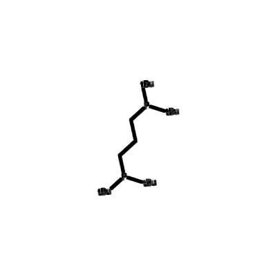 CC(C)(C)P(CCCP(C(C)(C)C)C(C)(C)C)C(C)(C)C